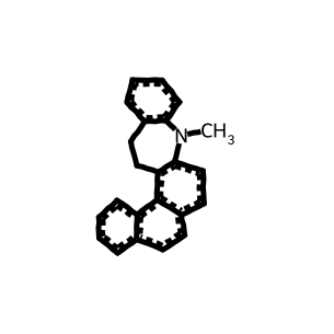 CN1c2ccccc2CCc2c1ccc1ccc3ccccc3c21